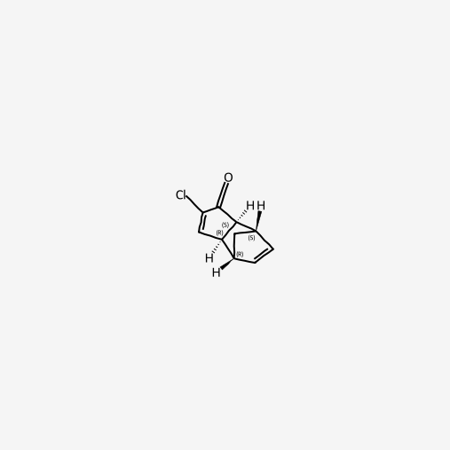 O=C1C(Cl)=C[C@H]2[C@@H]1[C@@H]1C=C[C@H]2C1